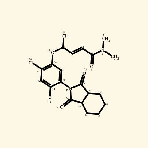 CC(C=CC(=O)N(C)C)Oc1cc(N2C(=O)C3CCCCC3C2=O)c(F)cc1Cl